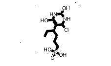 CCC(CCCP(=O)(O)O)C1=C(O)NC(O)NC1Cl